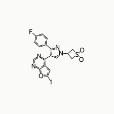 O=S1(=O)CC(n2cc(-c3ncnc4oc(I)cc34)c(-c3ccc(F)cc3)n2)C1